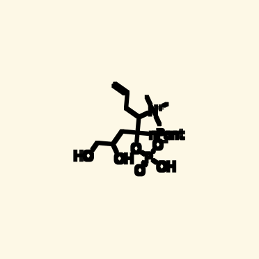 C=CCC(C(CCCCC)(CC(O)CO)OP(=O)([O-])O)[N+](C)(C)C